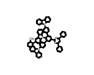 N#Cc1ccccc1-c1ccc2c(c1)c1ccccc1n2-c1c(-c2ccc(-n3c4ccccc4c4ccccc43)cc2)cc(-c2nc(-c3ccccc3)cc(-c3ccccc3)n2)cc1-c1ccc(-n2c3ccccc3c3ccccc32)cc1